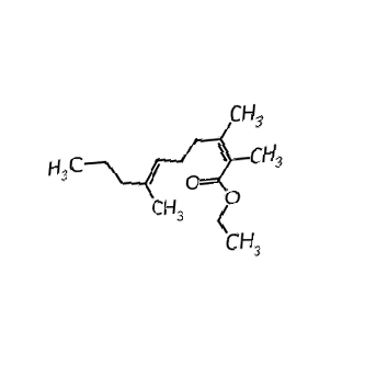 CCCC(C)=CCCC(C)=C(C)C(=O)OCC